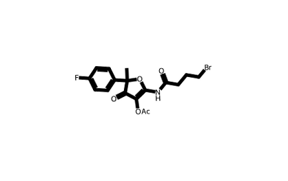 CC(=O)OC1=C(NC(=O)CCCBr)OC(C)(c2ccc(F)cc2)C1=O